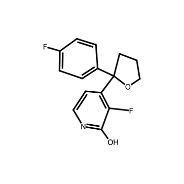 Oc1nccc(C2(c3ccc(F)cc3)CCCO2)c1F